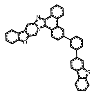 c1cc(-c2ccc3c(c2)sc2ccccc23)cc(-c2ccc3c(c2)c2ccccc2c2nc4cc5c(cn4c32)oc2ccccc25)c1